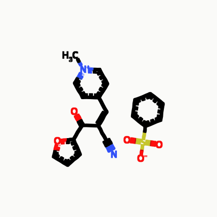 C[n+]1ccc(C=C(C#N)C(=O)c2ccco2)cc1.O=S(=O)([O-])c1ccccc1